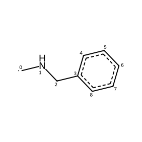 [CH2]NCc1ccccc1